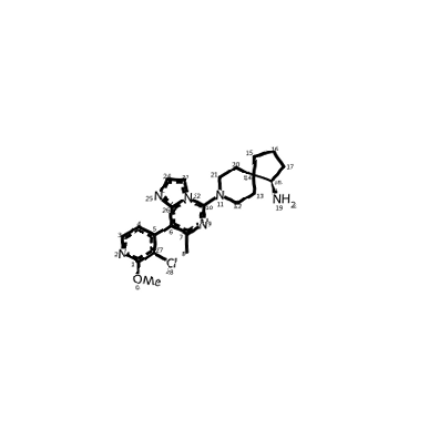 COc1nccc(-c2c(C)nc(N3CCC4(CCC[C@H]4N)CC3)n3ccnc23)c1Cl